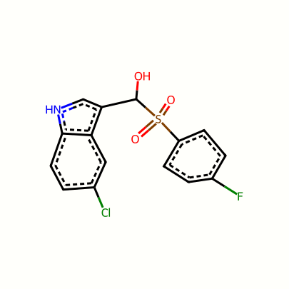 O=S(=O)(c1ccc(F)cc1)C(O)c1c[nH]c2ccc(Cl)cc12